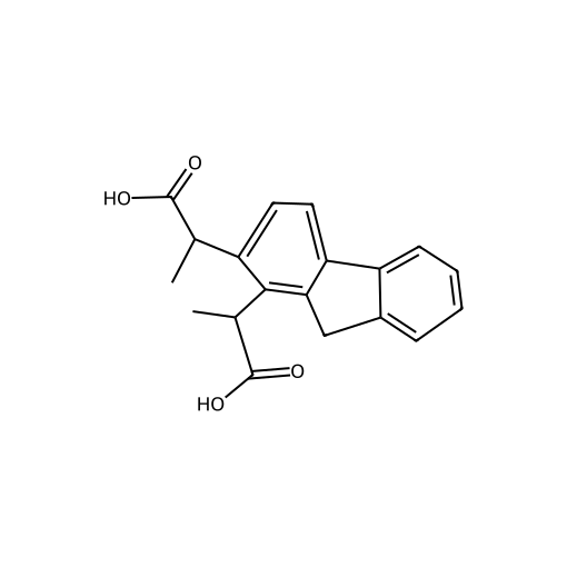 CC(C(=O)O)c1ccc2c(c1C(C)C(=O)O)Cc1ccccc1-2